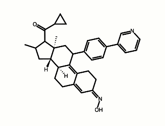 CC1C[C@H]2[C@@H]3CCC4=CC(=NO)CCC4=C3C(c3ccc(-c4cccnc4)cc3)C[C@]2(C)C1C(=O)C1CC1